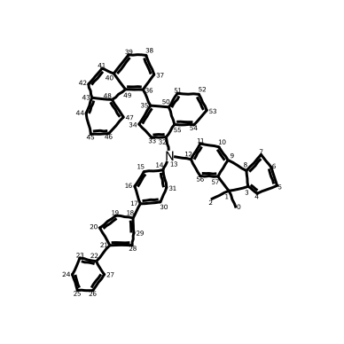 CC1(C)c2ccccc2-c2ccc(N(c3ccc(-c4ccc(-c5ccccc5)cc4)cc3)c3ccc(-c4cccc5ccc6ccccc6c45)c4ccccc34)cc21